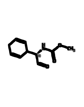 COC(=O)N[C@H](C=O)C1C=CCC=C1